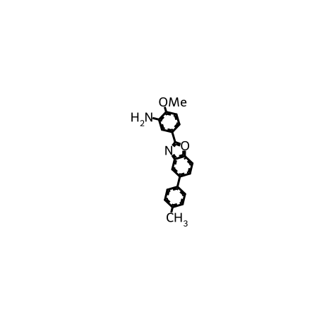 COc1ccc(-c2nc3cc(-c4ccc(C)cc4)ccc3o2)cc1N